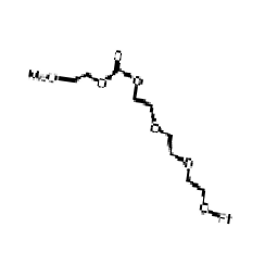 CCOCCOCCOCCOC(=O)OCCOC